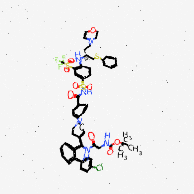 CC(C)(C)OC(=O)NCC(=O)NC(c1ccccc1-c1ccc(Cl)cc1)C1CCN(c2ccc(C(=O)NS(=O)(=O)c3ccc(N[C@H](CCN4CCOCC4)CSc4ccccc4)c(S(=O)(=O)C(F)(F)F)c3)cc2)CC1